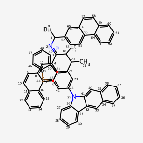 CCC(C)C(/N=C(/c1ccc2c(ccc3ccccc32)c1)C(CC)C(C)c1cc(-n2c3ccccc3c3cc4ccccc4cc32)cc2sc3ccccc3c12)c1ccc2c(ccc3ccccc32)c1